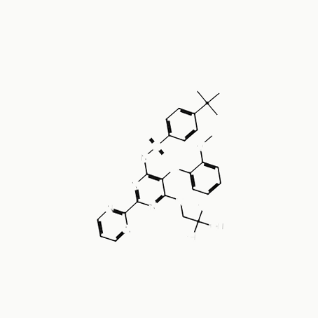 [2H]C([2H])(O)COc1nc(-c2ncccn2)nc(NS(=O)(=O)c2ccc(C(C)(C)C)cc2)c1Oc1ccccc1OC